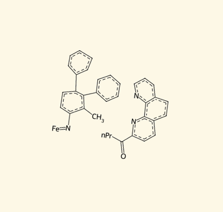 CCCC(=O)c1ccc2ccc3cccnc3c2n1.Cc1c([N]=[Fe])ccc(-c2ccccc2)c1-c1ccccc1